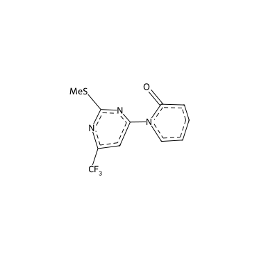 CSc1nc(-n2ccccc2=O)cc(C(F)(F)F)n1